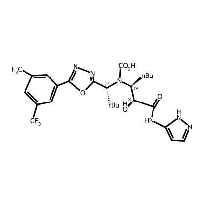 CCCC[C@@H]([C@H](O)C(=O)Nc1ccn[nH]1)N(C(=O)O)[C@@H](c1nnc(-c2cc(C(F)(F)F)cc(C(F)(F)F)c2)o1)C(C)(C)C